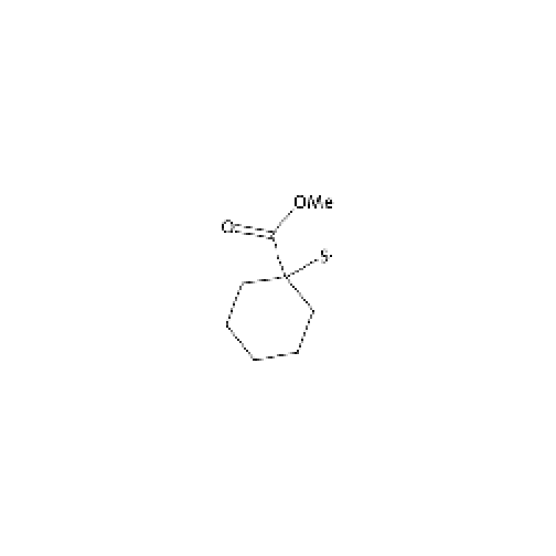 COC(=O)C1([S])CCCCC1